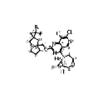 Fc1c(Cl)ncc2c(N3CCOC[C@H]4[C@H](F)[C@H]43)nc(OC[C@@]34CCCN3CC3(CC3(F)F)C4)nc12